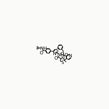 CC1(c2ccncc2)SCC(C(=O)Nc2nc(-c3ccc(C(=O)NC4CC4)cc3)cs2)N1C(=O)OCc1ccccc1